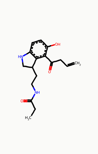 C=CCC(=O)c1c(O)ccc2c1C(CCNC(=O)CC)CN2